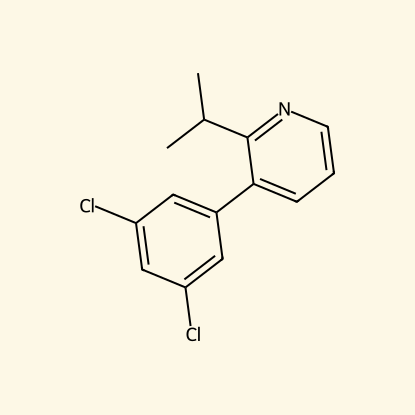 CC(C)c1ncccc1-c1cc(Cl)cc(Cl)c1